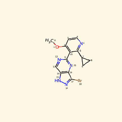 COc1ccnc(C2CC2)c1-c1ncc2[nH]nc(Br)c2n1